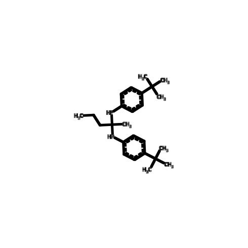 CCCC(C)(Pc1ccc(C(C)(C)C)cc1)Pc1ccc(C(C)(C)C)cc1